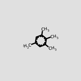 [CH2]c1cc(C)c(C)c(C)c1